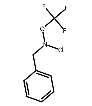 FC(F)(F)ON(Cl)Cc1ccccc1